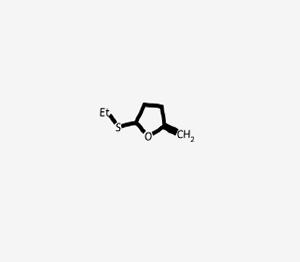 C=C1CCC(SCC)O1